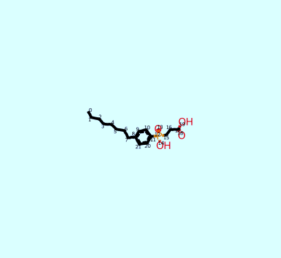 CCCCCCCCc1ccc(P(=O)(O)CCC(=O)O)cc1